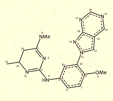 CNC1=NC(Nc2ccc(OC)c(-n3cc4cncnc4n3)c2)=NC(C)C1